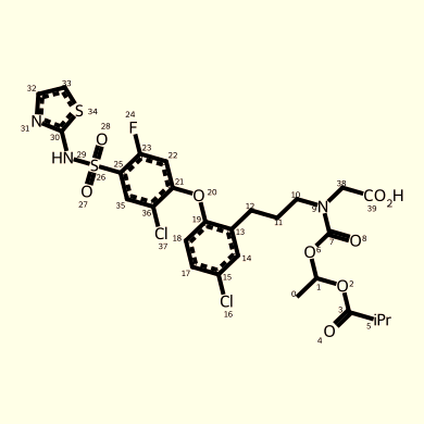 CC(OC(=O)C(C)C)OC(=O)N(CCCc1cc(Cl)ccc1Oc1cc(F)c(S(=O)(=O)Nc2nccs2)cc1Cl)CC(=O)O